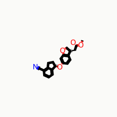 COC(=O)C[C@@H]1COc2cc(O[C@@H]3CCc4c(C#N)cccc43)ccc21